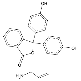 C=CCN.O=C1OC(c2ccc(O)cc2)(c2ccc(O)cc2)c2ccccc21